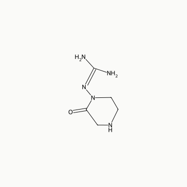 NC(N)=NN1CCNCC1=O